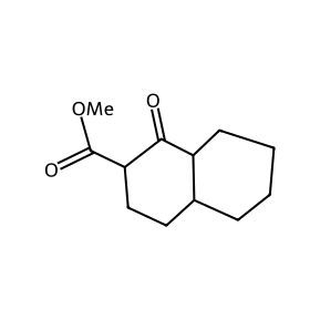 COC(=O)C1CCC2CCCCC2C1=O